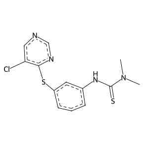 CN(C)C(=S)Nc1cccc(Sc2ncncc2Cl)c1